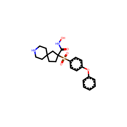 O=C(NO)C1(S(=O)(=O)c2ccc(Oc3ccccc3)cc2)CCC2(CCNCC2)C1